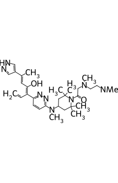 C=C/C(=C(O)\C=C(/C)c1cn[nH]c1)c1ccc(N(C)C2CC(C)(C)N(C(=O)CN(C)CCNC)C(C)(C)C2)nn1